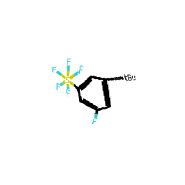 CC(C)(C)c1cc(F)cc(S(F)(F)(F)(F)F)c1